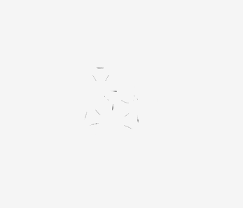 CC1=C(c2ccccc2)N(Cc2ccc(C(=O)O)cc2)C(=O)/C1=C(/NC=O)c1ccccc1